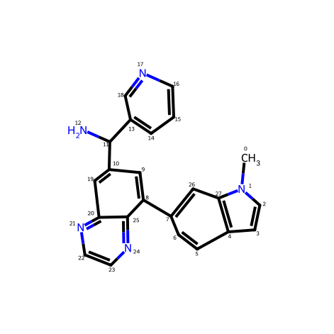 Cn1ccc2ccc(-c3cc(C(N)c4cccnc4)cc4nccnc34)cc21